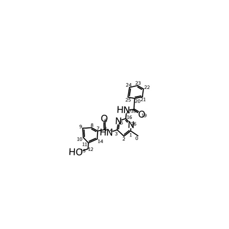 Cc1cc(NC(=O)c2cccc(CO)c2)nc(NC(=O)c2ccccc2)n1